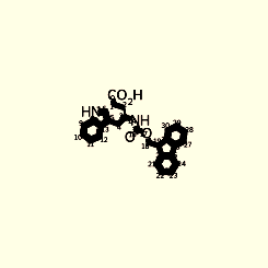 O=C(O)CC[C@H](Cc1c[nH]c2ccccc12)NC(=O)OCC1c2ccccc2-c2ccccc21